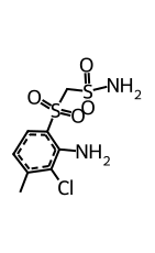 Cc1ccc(S(=O)(=O)CS(N)(=O)=O)c(N)c1Cl